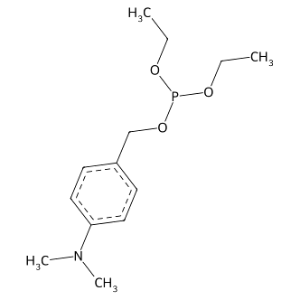 CCOP(OCC)OCc1ccc(N(C)C)cc1